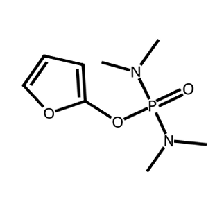 CN(C)P(=O)(Oc1ccco1)N(C)C